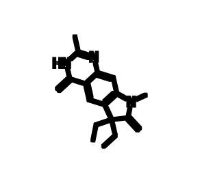 C=C1NC(C)=Nc2cc3c(cc21)C(CC)(CC)C(=C)N3C